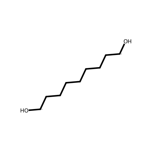 O[CH]CCCCCCC[CH]O